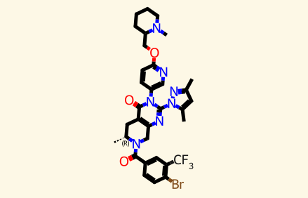 Cc1cc(C)n(-c2nc3c(c(=O)n2-c2ccc(OCC4CCCCN4C)nc2)C[C@@H](C)N(C(=O)c2ccc(Br)c(C(F)(F)F)c2)C3)n1